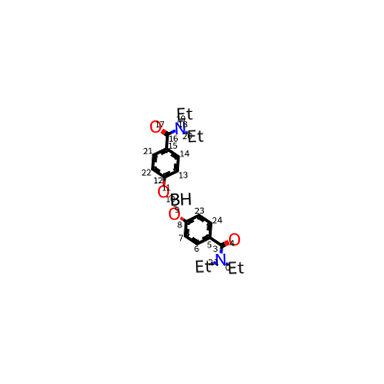 CCN(CC)C(=O)c1ccc(OBOc2ccc(C(=O)N(CC)CC)cc2)cc1